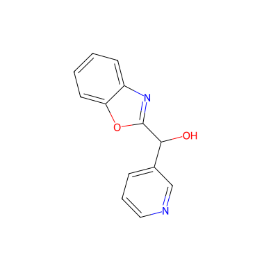 OC(c1cccnc1)c1nc2ccccc2o1